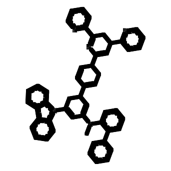 CN(C1=CC(C2=CCC(C3=CC(c4ccccn4)CC(c4ccccn4)=N3)C=C2)CC(n2c3ccccc3c3ccccc32)=C1)c1ccccc1-c1ccccc1